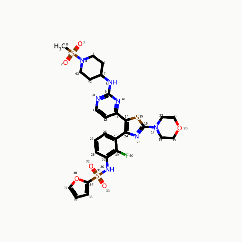 CS(=O)(=O)N1CCC(Nc2nccc(-c3sc(N4CCOCC4)nc3-c3cccc(NS(=O)(=O)c4ccco4)c3F)n2)CC1